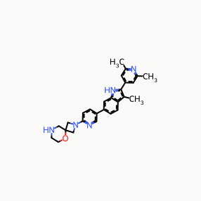 Cc1cc(-c2[nH]c3cc(-c4ccc(N5CC6(CNCCO6)C5)nc4)ccc3c2C)cc(C)n1